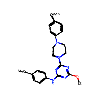 CCOc1nc(Nc2ccc(OC)cc2)nc(N2CCN(c3ccc(OC)cc3)CC2)n1